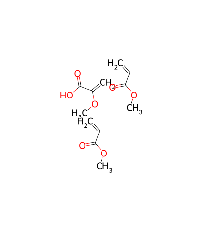 C=C(OC)C(=O)O.C=CC(=O)OC.C=CC(=O)OC